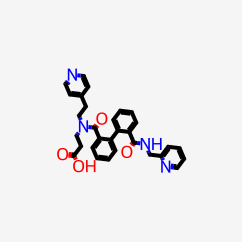 O=C(O)CCN(CCc1ccncc1)C(=O)c1ccccc1-c1ccccc1C(=O)NCc1ccccn1